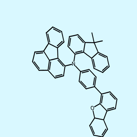 CC1(C)c2ccccc2-c2c(N(c3ccc(-c4cccc5c4OC4C=CC=CC54)cc3)c3ccc4cccc5c4c3-c3ccccc3-5)cccc21